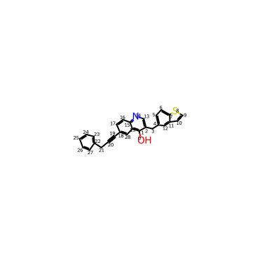 Oc1c(Cc2ccc3sccc3c2)cnc2ccc(C#CCc3ccccc3)cc12